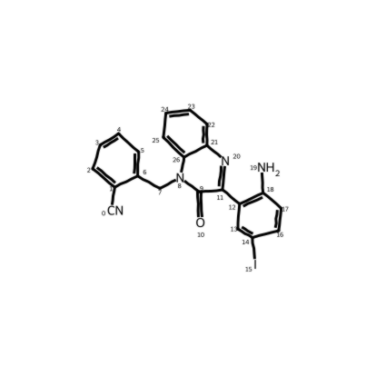 N#Cc1ccccc1Cn1c(=O)c(-c2cc(I)ccc2N)nc2ccccc21